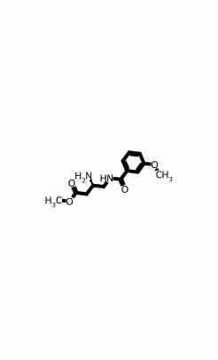 COC(=O)C[C@@H](N)CNC(=O)c1cccc(OC)c1